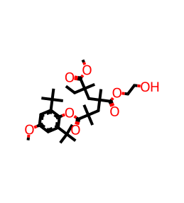 CCC(C)(CC(C)(CC(C)(C)C(=O)Oc1c(C(C)(C)C)cc(OC)cc1C(C)(C)C)C(=O)OCCO)C(=O)OC